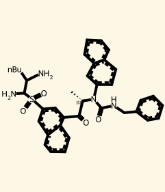 CCCCC(N)C(N)S(=O)(=O)c1cc(C(=O)[C@H](C)N(C(=O)NCc2ccccc2)c2ccc3ccccc3c2)c2ccccc2c1